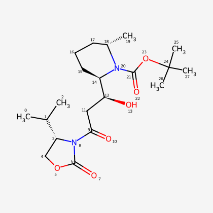 CC(C)[C@H]1COC(=O)N1C(=O)C[C@H](O)[C@H]1CCC[C@H](C)N1C(=O)OC(C)(C)C